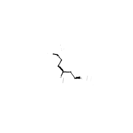 C=CC/C(C)=C\C[C@H](C)C(C)=O